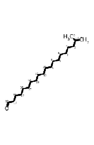 CC(C)CCCCCCCCCCCCCCCCC[C]=O